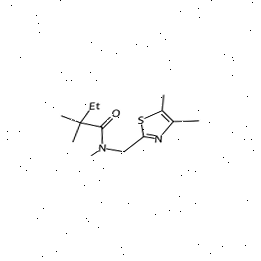 CCC(C)(C)C(=O)N(C)Cc1nc(C)c(C)s1